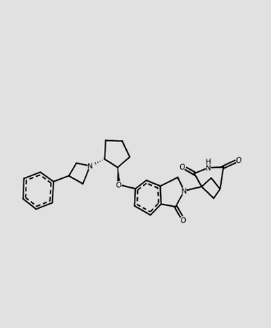 O=C1NC(=O)C2(N3Cc4cc(O[C@@H]5CCC[C@H]5N5CC(c6ccccc6)C5)ccc4C3=O)CC1C2